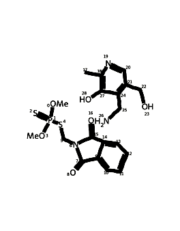 COP(=S)(OC)SCN1C(=O)c2ccccc2C1=O.Cc1ncc(CO)c(CN)c1O